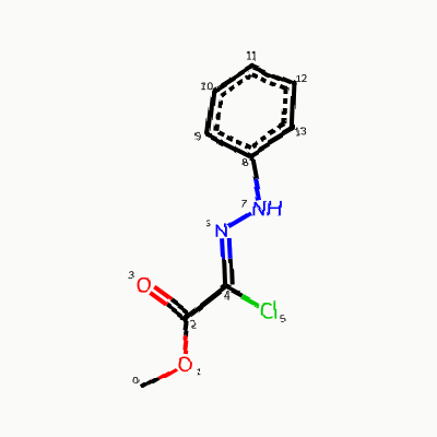 COC(=O)C(Cl)=NNc1ccccc1